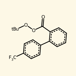 CC(C)(C)OOC(=O)c1ccccc1-c1ccc(C(F)(F)F)cc1